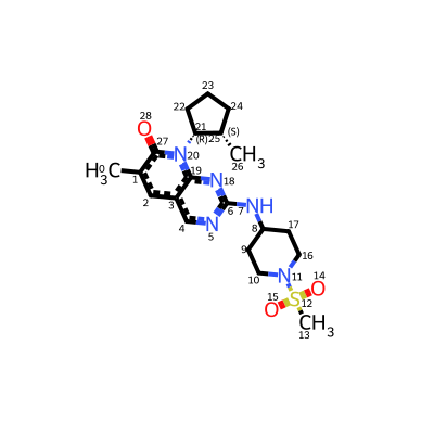 Cc1cc2cnc(NC3CCN(S(C)(=O)=O)CC3)nc2n([C@@H]2CCC[C@@H]2C)c1=O